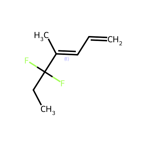 C=C/C=C(\C)C(F)(F)CC